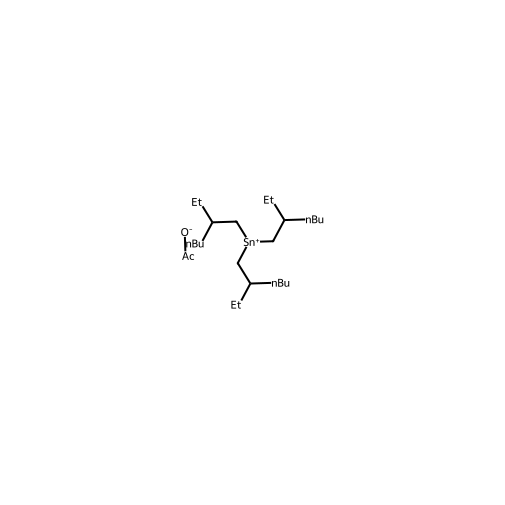 CC(=O)[O-].CCCCC(CC)[CH2][Sn+]([CH2]C(CC)CCCC)[CH2]C(CC)CCCC